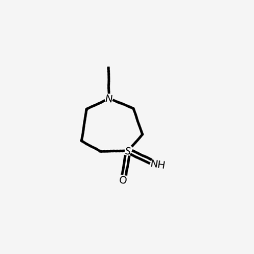 CN1CCCS(=N)(=O)CC1